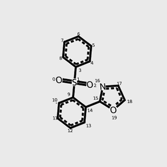 O=S(=O)(c1ccccc1)c1[c]cccc1-c1ncco1